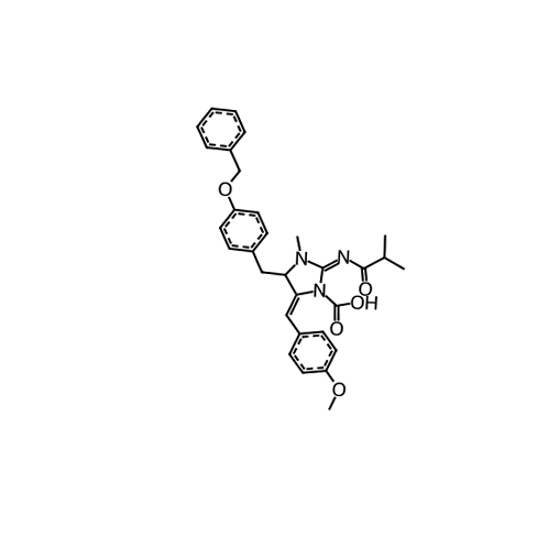 COc1ccc(/C=C2/C(Cc3ccc(OCc4ccccc4)cc3)N(C)/C(=N/C(=O)C(C)C)N2C(=O)O)cc1